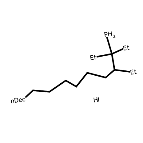 CCCCCCCCCCCCCCCCC(CC)C(P)(CC)CC.I